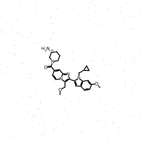 COCc1c(-c2cc3ccc(OC)cc3n2CC2CC2)nc2cc(C(=O)N3CCC[C@@H](N)C3)ccn12